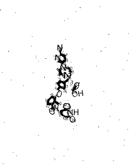 C[C@H](c1ccc(COc2cccc3c2CN([C@H]2CCC(=O)NC2=O)C3=O)cc1)N1CCN(c2ccc(C#N)nc2)CC1.O=CO